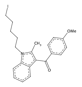 COc1ccc(C(=O)c2c(C)n(CCCCCI)c3ccccc23)cc1